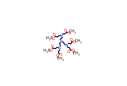 COC(=O)CCN(CCC(=O)OC)CCN(CCN(CCC(=O)OC)CCC(=O)OC)CCN(CCC(=O)OC)CCC(=O)OC